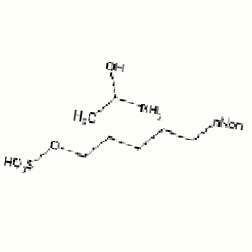 CC(N)O.CCCCCCCCCCCCCCOS(=O)(=O)O